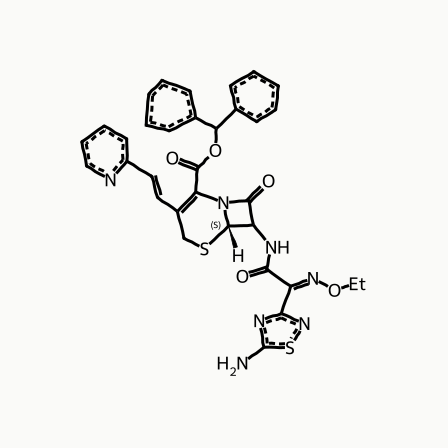 CCON=C(C(=O)NC1C(=O)N2C(C(=O)OC(c3ccccc3)c3ccccc3)=C(C=Cc3ccccn3)CS[C@@H]12)c1nsc(N)n1